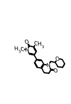 Cc1cc(-c2ccc3c(c2)N(CC2CCCCO2)C(=O)CC3)cn(C)c1=O